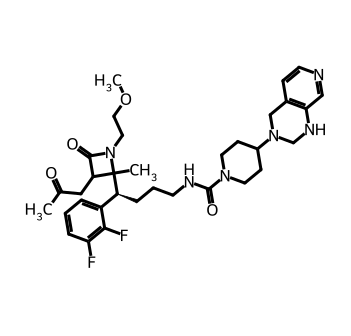 COCCN1C(=O)C(CC(C)=O)C1(C)[C@@H](CCCNC(=O)N1CCC(N2CNc3cnccc3C2)CC1)c1cccc(F)c1F